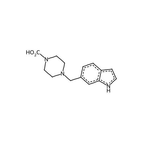 O=C(O)N1CCN(Cc2ccc3cc[nH]c3c2)CC1